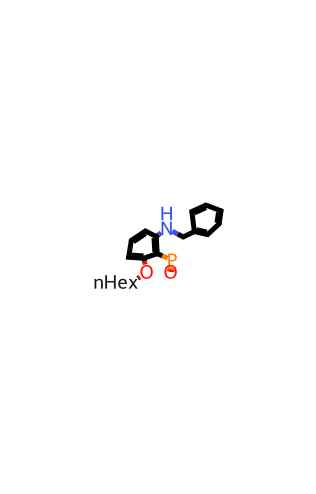 CCCCCCOc1cccc(NCc2ccccc2)c1P=O